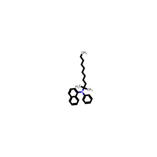 CCCCCCCCCC(C)(C)N(c1ccccc1)c1cccc2ccccc12